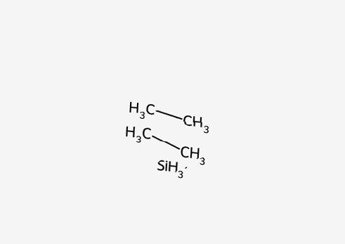 CC.CC.[SiH3]